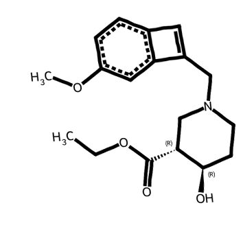 CCOC(=O)[C@@H]1CN(CC2=Cc3ccc(OC)cc32)CC[C@H]1O